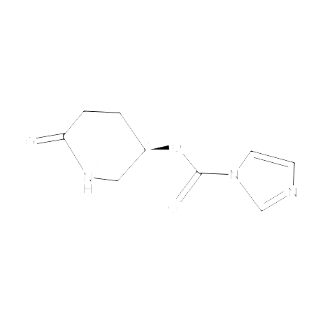 O=C1CC[C@@H](OC(=O)n2ccnc2)CN1